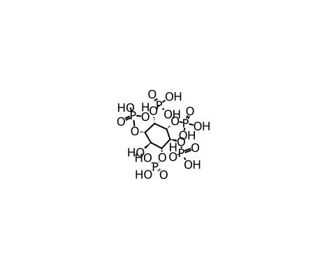 O=P(O)(O)O[C@@H]1[C@@H](OP(=O)(O)O)[C@H](OP(=O)(O)O)[C@@H](O)[C@H](OP(=O)(O)O)[C@@H]1OP(=O)(O)O